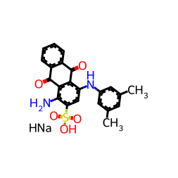 Cc1cc(C)cc(Nc2cc(S(=O)(=O)O)c(N)c3c2C(=O)c2ccccc2C3=O)c1.[NaH]